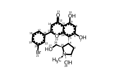 CN1CC[C@@H](c2c(O)cc(O)c3c(=O)cc(-c4cccc(Br)c4)oc23)[C@@H]1CO.Cl